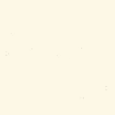 CCC(=O)Oc1ccccc1OC(=O)CCC(CC)CC